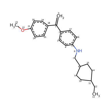 C=C(c1ccc(NCC2CCC(CC)CC2)cc1)c1ccc(OC)cc1